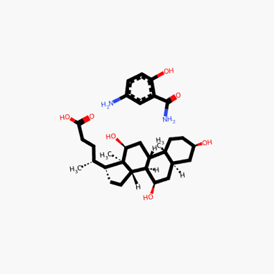 C[C@H](CCC(=O)O)[C@H]1CC[C@H]2[C@@H]3[C@H](O)C[C@@H]4C[C@H](O)CC[C@]4(C)[C@H]3C[C@H](O)[C@]12C.NC(=O)c1cc(N)ccc1O